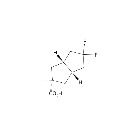 C[C@]1(C(=O)O)C[C@H]2CC(F)(F)C[C@H]2C1